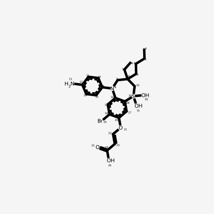 CCCCC1(CC)CN(c2ccc(N)cc2)c2cc(Br)c(O/C=C/C(=O)O)cc2S(O)(O)C1